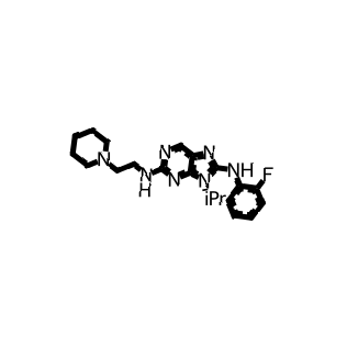 CC(C)n1c(Nc2ccccc2F)nc2cnc(NCCN3CCCCC3)nc21